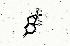 CS1(C)[C@@H]2CC3=CC(=O)CC[C@@]3(S)[C@@H]21